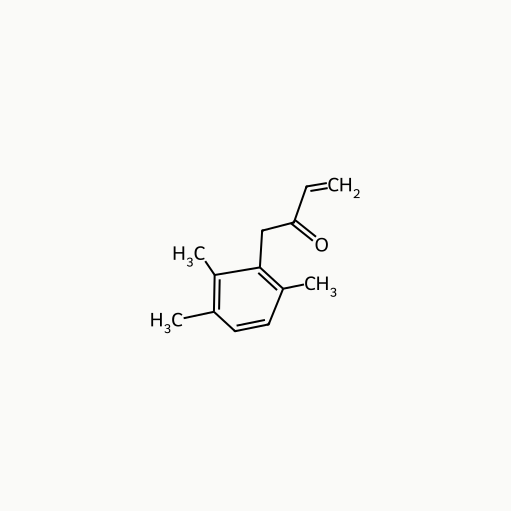 C=CC(=O)Cc1c(C)ccc(C)c1C